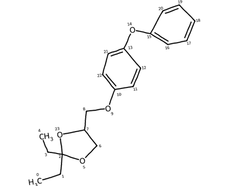 CCC1(CC)OCC(COc2ccc(Oc3ccccc3)cc2)O1